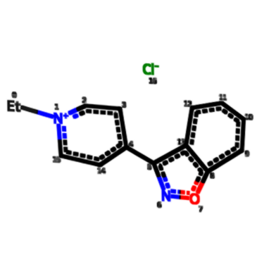 CC[n+]1ccc(-c2noc3ccccc23)cc1.[Cl-]